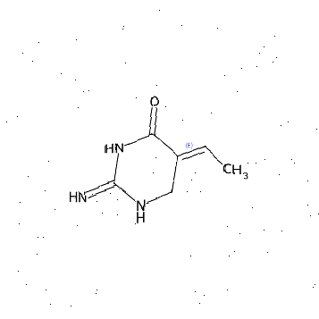 C/C=C1\CNC(=N)NC1=O